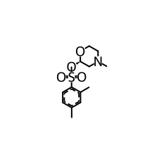 Cc1ccc(S(=O)(=O)O[C@@H]2CN(C)CCO2)c(C)c1